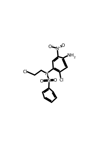 Nc1cc(Cl)c(N(CCCl)S(=O)(=O)c2ccccc2)cc1[N+](=O)[O-]